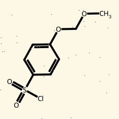 COCOc1ccc(S(=O)(=O)Cl)cc1